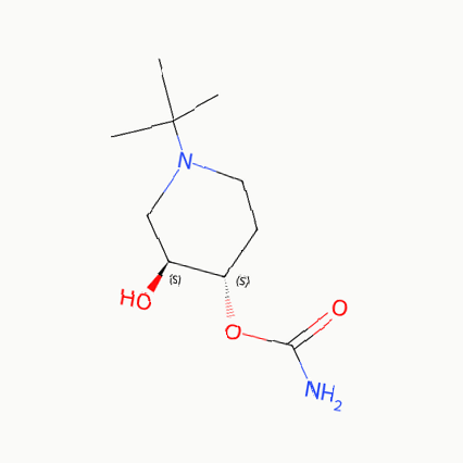 CC(C)(C)N1CC[C@H](OC(N)=O)[C@@H](O)C1